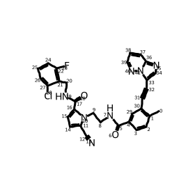 Cc1ccc(C(=O)NCCn2c(C#N)ccc2C(=O)NCc2c(F)cccc2Cl)cc1C#Cc1cnc2cccnn12